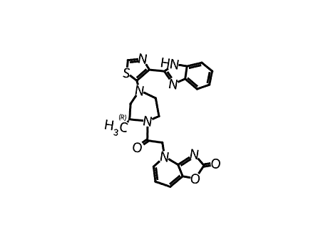 C[C@@H]1CN(c2scnc2-c2nc3ccccc3[nH]2)CCN1C(=O)Cn1cccc2oc(=O)nc1-2